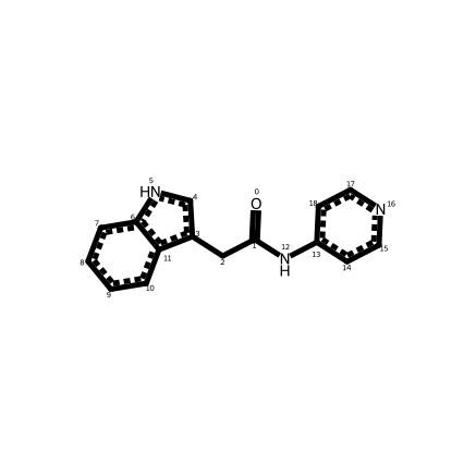 O=C(Cc1c[nH]c2ccccc12)Nc1ccncc1